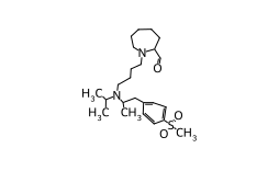 CC(C)N(CCCCN1CCCCCC1C=O)C(C)Cc1ccc(S(C)(=O)=O)cc1